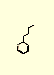 [CH2]CCCC1C=CC=CO1